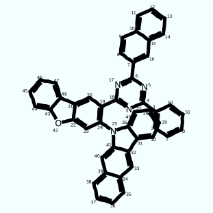 c1ccc(-c2nc(-c3ccc4ccccc4c3)nc(-c3cc4c(cc3-n3c5ccccc5c5cc6ccccc6cc53)oc3ccccc34)n2)cc1